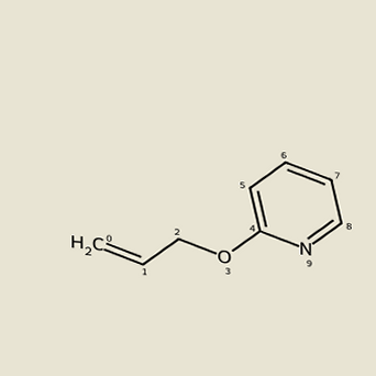 C=CCOc1ccccn1